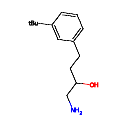 CC(C)(C)c1cccc(CCC(O)CN)c1